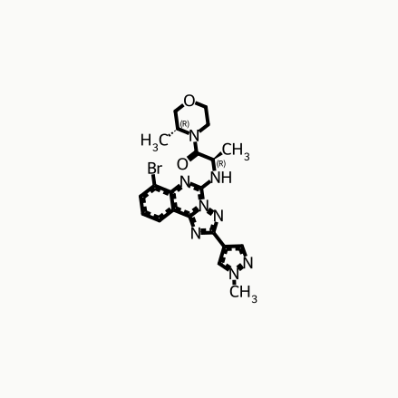 C[C@@H]1COCCN1C(=O)[C@@H](C)Nc1nc2c(Br)cccc2c2nc(-c3cnn(C)c3)nn12